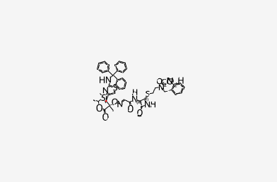 CC(OC(=O)C(C)(Cc1csc(NC(c2ccccc2)(c2ccccc2)c2ccccc2)n1)ON=CC(=O)N[C@@H]1C(=O)N[C@@H]1SCCN(Cc1ccccc1[N+](=O)[O-])C(=O)O)[Si](C)(C)C